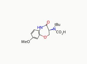 COc1ccc2c(c1)OC[C@H](N(C(=O)O)C(C)(C)C)C(=O)N2